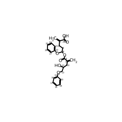 C=C(CCC(OC(=O)C(=C)CC(O)COc1ccccc1)Oc1ccccc1)C(=O)O